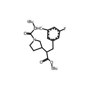 CC(C)(C)OC(=O)C(Cc1cc(F)cc(C=O)c1)C1CCN(C(=O)OC(C)(C)C)C1